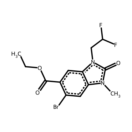 CCOC(=O)c1cc2c(cc1Br)n(C)c(=O)n2CC(F)F